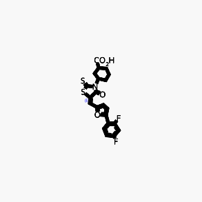 O=C(O)C1CCCC(N2C(=O)/C(=C\c3ccc(-c4ccc(F)cc4F)o3)SC2=S)C1